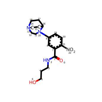 O=C(NCCCO)c1cc(N2CCN3CCC2CC3)ccc1[N+](=O)[O-]